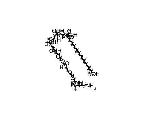 NCCCC[C@H](NC(=O)COCCOCCNC(=O)COCCOCCNC(=O)CC[C@H](NC(=O)CC[C@H](NC(=O)CC[C@H](NC(=O)CCCCCCCCCCCCCCCCCCC(=O)O)C(=O)O)C(=O)O)C(=O)O)C(=O)I